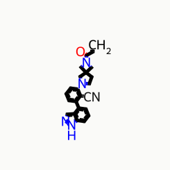 C=CC(=O)N1CC2(CCN(c3cccc(-c4cccc5[nH]ncc45)c3C#N)C2)C1